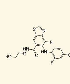 Cc1ccc(Nc2c(C(=O)NOCCO)cc3scnc3c2F)c(F)c1